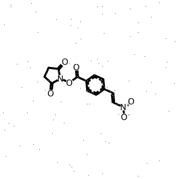 O=C(ON1C(=O)CCC1=O)c1ccc(C=C[N+](=O)[O-])cc1